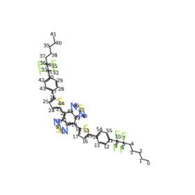 CCCCCC(F)(F)C(F)(F)c1ccc(-c2ccc(-c3c4c(c(-c5ccc(-c6ccc(C(F)(F)C(F)(F)CCCCC)cc6)s5)c5nsnc35)N=S=N4)s2)cc1